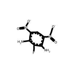 Nc1c([N+](=O)[O-])cc([N+](=O)[O-])c(N)c1F